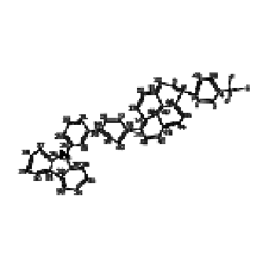 CC(C)(C)c1ccc(-c2ccc3ccc4c(-c5ccc(-c6cccc(-n7c8ccccc8c8ccccc87)c6)cc5)ccc5ccc2c3c54)cc1